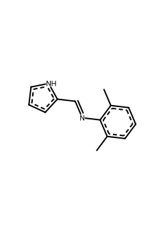 Cc1cccc(C)c1N=Cc1ccc[nH]1